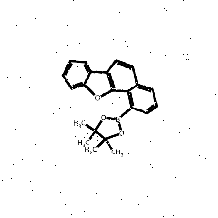 CC1(C)OB(c2cccc3ccc4c5ccccc5oc4c23)OC1(C)C